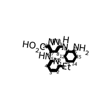 CCc1cccc(Nc2cc(NC3CCCCC3N)nnc2C(=O)O)n1